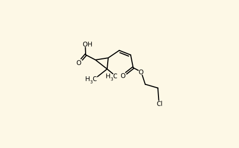 CC1(C)C(/C=C\C(=O)OCCCl)C1C(=O)O